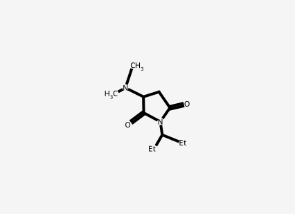 CCC(CC)N1C(=O)CC(N(C)C)C1=O